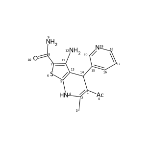 CC(=O)C1=C(C)Nc2sc(C(N)=O)c(N)c2C1c1cccnc1